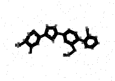 COCc1cc(-c2nc(-c3cnc(N)c(C)c3)no2)ccc1-c1ccccc1Cl